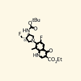 CCOC(=O)c1c[nH]c2c(C)c(N3C[C@H](CF)[C@H](NC(=O)OC(C)(C)C)C3)c(F)cc2c1=O